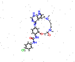 CN1CCCN(C)C(=O)COc2cc(ccc2NC(=O)Nc2ccc(Cl)cc2)/N=C2/N=CNc3[nH]cc(c32)C1